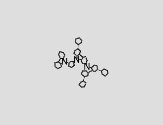 c1ccc(-c2ccc3c(c2)c2cc(-c4ccccc4)ccc2n3-c2ccc3c4cc(-c5ccccc5)ccc4n(-c4cccc(-n5c6ccccc6c6ccccc65)c4)c3c2)cc1